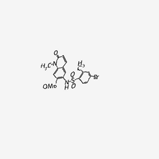 COc1cc2c(ccc(=O)n2C)cc1NS(=O)(=O)c1ccc(Br)cc1C